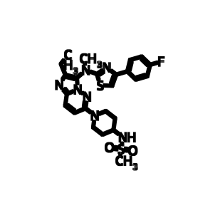 CCc1nc2ccc(N3CCC(NS(C)(=O)=O)CC3)nn2c1N(C)c1nc(-c2ccc(F)cc2)cs1